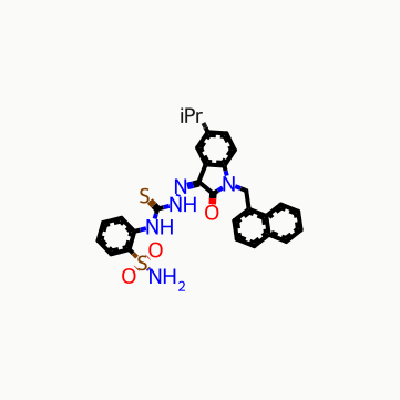 CC(C)c1ccc2c(c1)C(=NNC(=S)Nc1ccccc1S(N)(=O)=O)C(=O)N2Cc1cccc2ccccc12